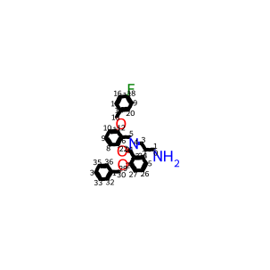 NCCCN(Cc1ccccc1OCc1ccc(F)cc1)C(=O)c1ccccc1OCc1ccccc1